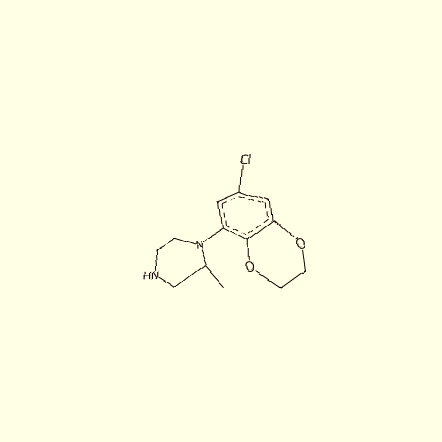 CC1CNCCN1c1cc(Cl)cc2c1OCCO2